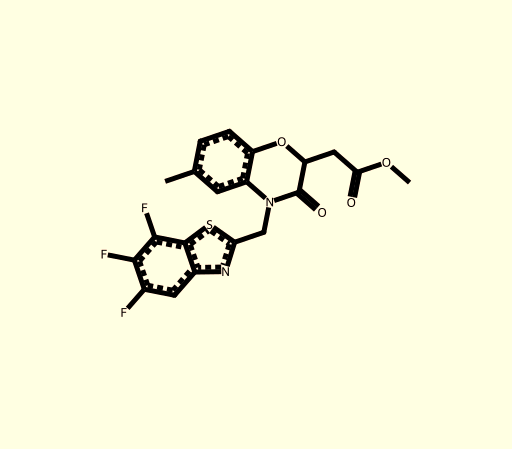 COC(=O)CC1Oc2ccc(C)cc2N(Cc2nc3cc(F)c(F)c(F)c3s2)C1=O